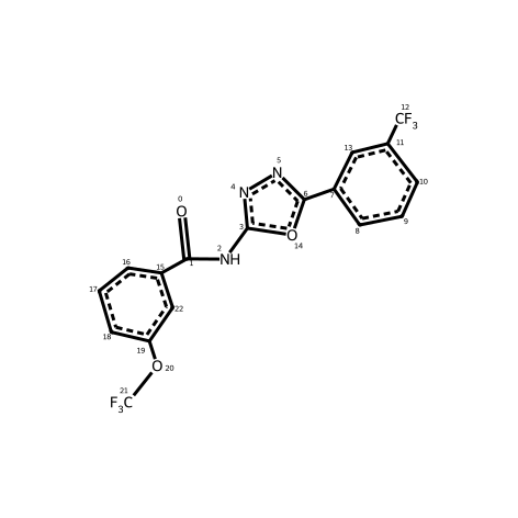 O=C(Nc1nnc(-c2cccc(C(F)(F)F)c2)o1)c1cccc(OC(F)(F)F)c1